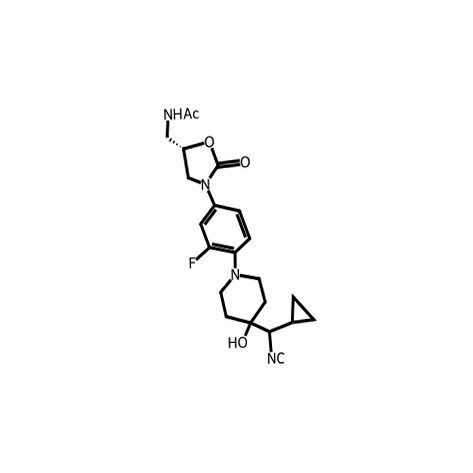 [C-]#[N+]C(C1CC1)C1(O)CCN(c2ccc(N3C[C@H](CNC(C)=O)OC3=O)cc2F)CC1